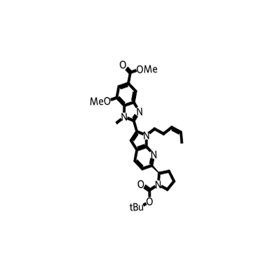 C/C=C\CCn1c(-c2nc3cc(C(=O)OC)cc(OC)c3n2C)cc2ccc([C@H]3CCCN3C(=O)OC(C)(C)C)nc21